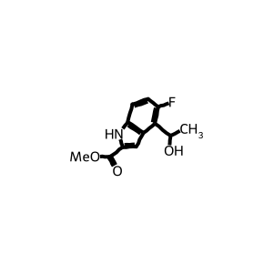 COC(=O)c1cc2c(C(C)O)c(F)ccc2[nH]1